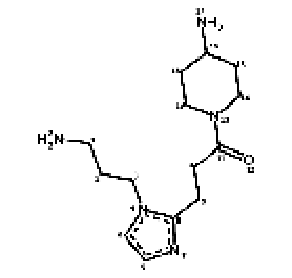 NCCCn1ccnc1CCC(=O)N1CCC(N)CC1